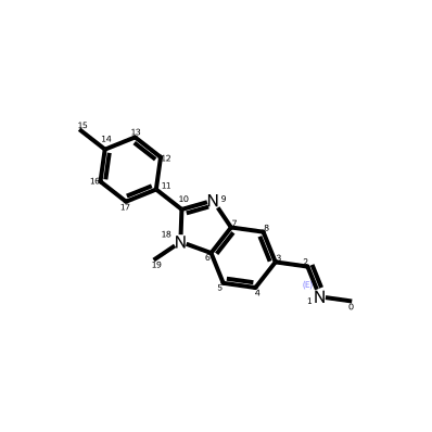 C/N=C/c1ccc2c(c1)nc(-c1ccc(C)cc1)n2C